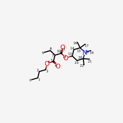 CCCCOC(=O)C(CC)C(=O)OC1CC(C)(C)N(C)C(C)(C)C1